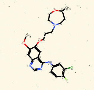 COc1cc2ncnc(Nc3ccc(F)c(Cl)c3)c2cc1OCCCN1CCOC(C)CC1